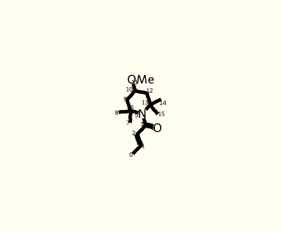 CC=CC(=O)N1C(C)(C)CC(OC)CC1(C)C